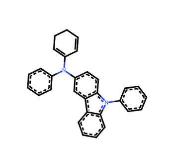 C1=CC(N(c2ccccc2)c2ccc3c(c2)c2ccccc2n3-c2ccccc2)=CCC1